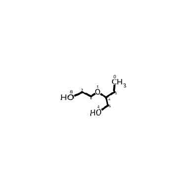 CCC(CO)OCCO